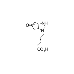 O=C(O)CCCCN1CNC2C[S+]([O-])CC21